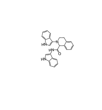 O=C(Nc1c[nH]c2ccccc12)C1c2ccccc2CCN1c1c[nH]c2ccccc12